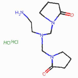 Cl.Cl.NCCN(CN1CCCC1=O)CN1CCCC1=O